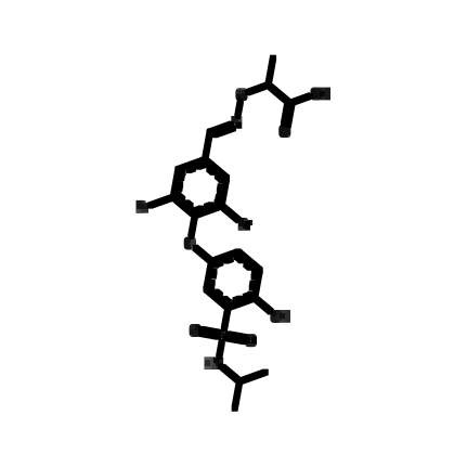 CC(C)NS(=O)(=O)c1cc(Oc2c(Br)cc(C=NOC(C)C(=O)O)cc2Br)ccc1O